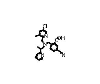 Cc1cc(Cl)cnc1CN(Cc1ccc(C#N)cc1CO)CC(C)c1ccccn1